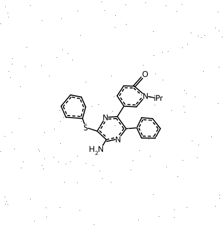 CC(C)n1cc(-c2nc(Sc3ccccc3)c(N)nc2-c2ccccc2)ccc1=O